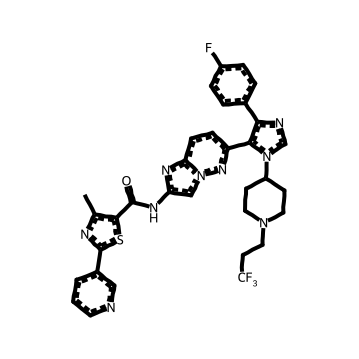 Cc1nc(-c2cccnc2)sc1C(=O)Nc1cn2nc(-c3c(-c4ccc(F)cc4)ncn3C3CCN(CCC(F)(F)F)CC3)ccc2n1